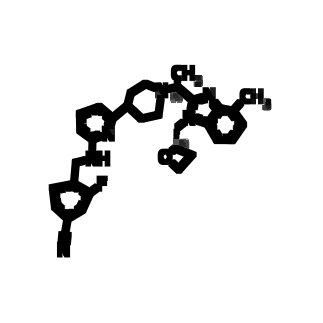 Cc1cccc2c1nc([C@H](C)N1CCC(c3cccc(NCc4ccc(C#N)cc4F)n3)CC1)n2C[C@@H]1CCO1